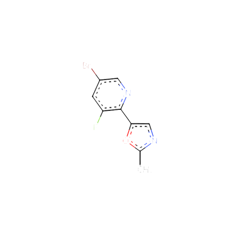 Cc1ncc(-c2ncc(Br)cc2F)o1